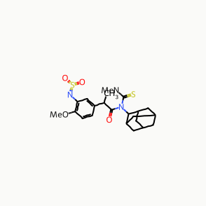 CNC(=S)N(C(=O)C(C)c1ccc(OC)c(N=S(=O)=O)c1)C1C2CC3CC(C2)CC1C3